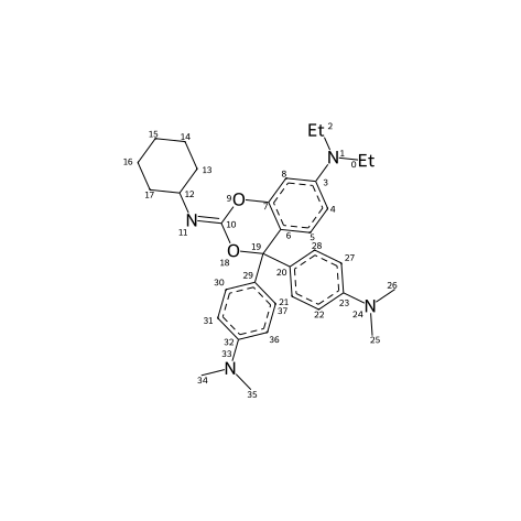 CCN(CC)c1ccc2c(c1)OC(=NC1CCCCC1)OC2(c1ccc(N(C)C)cc1)c1ccc(N(C)C)cc1